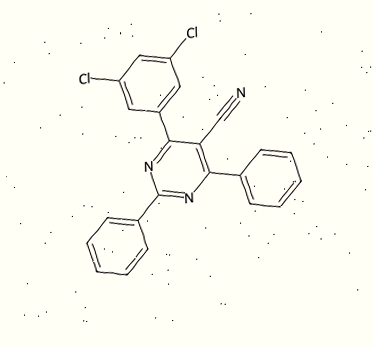 N#Cc1c(-c2ccccc2)nc(-c2ccccc2)nc1-c1cc(Cl)cc(Cl)c1